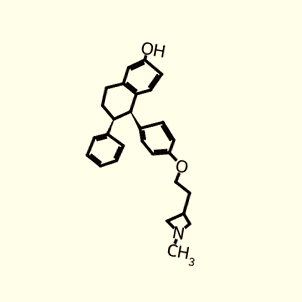 CN1CC(CCOc2ccc([C@@H]3c4ccc(O)cc4CC[C@@H]3c3ccccc3)cc2)C1